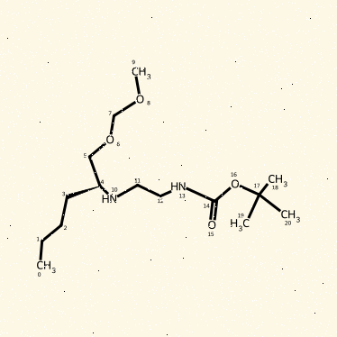 CCCC[C@@H](COCOC)NCCNC(=O)OC(C)(C)C